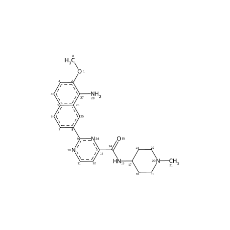 COc1ccc2ccc(-c3nccc(C(=O)NC4CCN(C)CC4)n3)cc2c1N